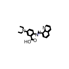 CCN(CC)c1ccc(/N=N/c2cccc3cccnc23)c(C(=O)O)c1